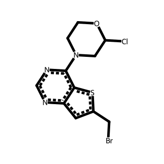 ClC1CN(c2ncnc3cc(CBr)sc23)CCO1